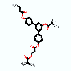 C=C(C)C(=O)OCCC(=O)Oc1ccc(-c2cc(OC(=O)C(=C)C)cc(-c3ccc(OC(=O)CCC)cc3)c2)cc1